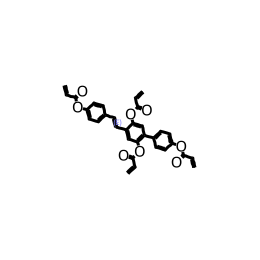 C=CC(=O)Oc1ccc(/C=C/c2cc(OC(=O)C=C)c(-c3ccc(OC(=O)C=C)cc3)cc2OC(=O)C=C)cc1